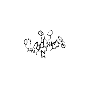 C[C@@H](NC(=O)C1CCOCC1)C(=O)N[C@@H](Cc1ccc(S(C)(=O)=O)cc1)C(=O)N[C@@H](CC1CCCC1)C(=O)[C@]1(C)CO1